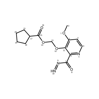 COc1ccnc(C(=O)N=N)c1OCOC(=O)C1CCCC1